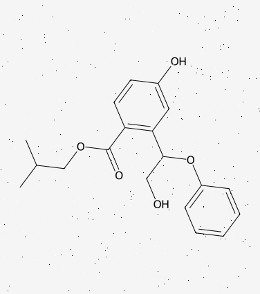 CC(C)COC(=O)c1ccc(O)cc1C(CO)Oc1ccccc1